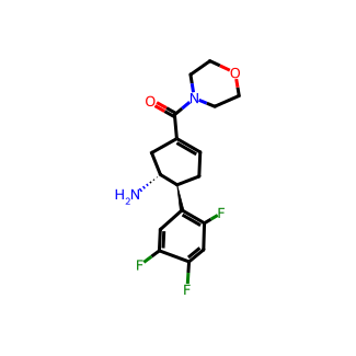 N[C@@H]1CC(C(=O)N2CCOCC2)=CC[C@H]1c1cc(F)c(F)cc1F